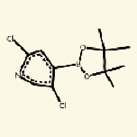 CC1(C)OB(c2cc(Cl)ncc2Cl)OC1(C)C